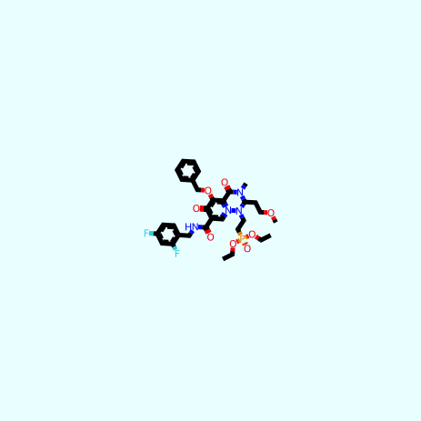 CCOP(=O)(CCN1C(CCOC)N(C)C(=O)c2c(OCc3ccccc3)c(=O)c(C(=O)NCc3ccc(F)cc3F)cn21)OCC